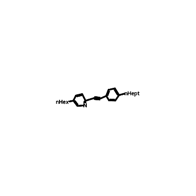 CCCCCCCc1ccc(C#Cc2ccc(CCCCCC)cn2)cc1